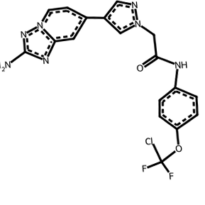 Nc1nc2cc(-c3cnn(CC(=O)Nc4ccc(OC(F)(F)Cl)cc4)c3)ccn2n1